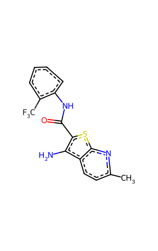 Cc1ccc2c(N)c(C(=O)Nc3ccccc3C(F)(F)F)sc2n1